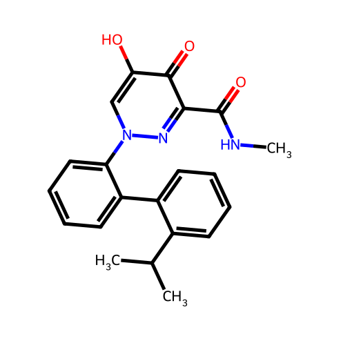 CNC(=O)c1nn(-c2ccccc2-c2ccccc2C(C)C)cc(O)c1=O